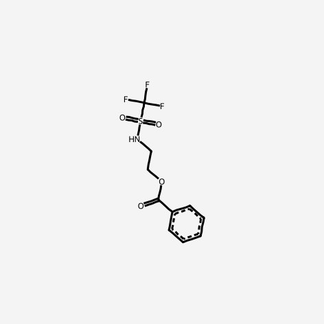 O=C(OCCNS(=O)(=O)C(F)(F)F)c1ccccc1